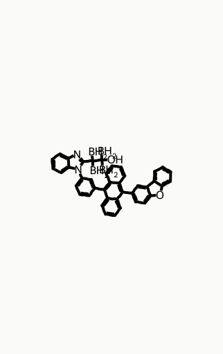 BC(B)(O)C(B)(B)c1nc2ccccc2n1-c1cccc(-c2c3ccccc3c(-c3ccc4oc5ccccc5c4c3)c3ccccc23)c1